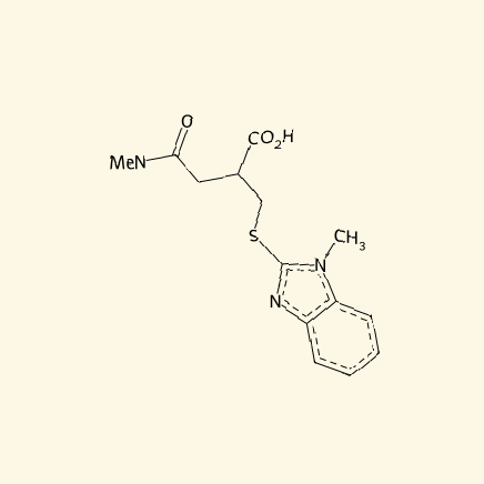 CNC(=O)CC(CSc1nc2ccccc2n1C)C(=O)O